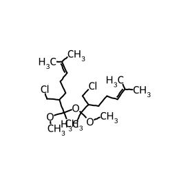 COC(C)(OC(C)(OC)C(CCl)CCC=C(C)C)C(CCl)CCC=C(C)C